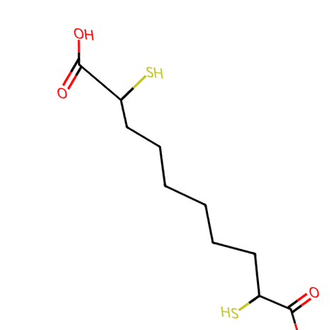 O=C(O)C(S)CCCCCCC(S)C(=O)O